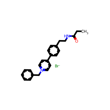 CCC(=O)NCCc1ccc(-c2cc[n+](Cc3ccccc3)cc2)cc1.[Br-]